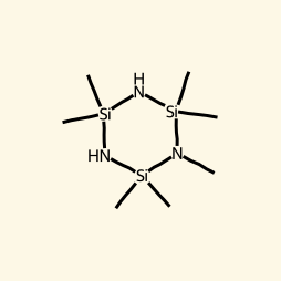 CN1[Si](C)(C)N[Si](C)(C)N[Si]1(C)C